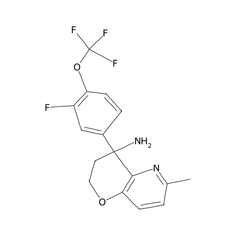 Cc1ccc2c(n1)C(N)(c1ccc(OC(F)(F)F)c(F)c1)CCO2